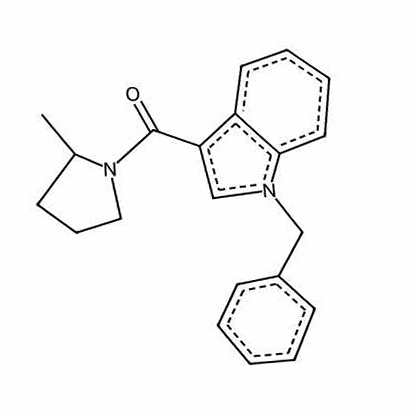 CC1CCCN1C(=O)c1cn(Cc2ccccc2)c2ccccc12